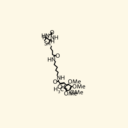 COc1c(C)c(C=C(C)C(=O)NCCCCCCNC(=O)CCCC[C@@H]2SC[C@@H]3NC(=O)N[C@@H]32)c(OC)c(OC)c1OC